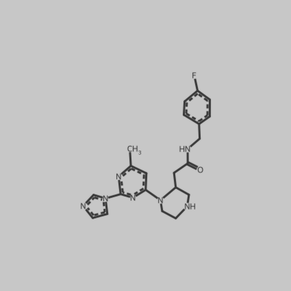 Cc1cc(N2CCNCC2CC(=O)NCc2ccc(F)cc2)nc(-n2ccnc2)n1